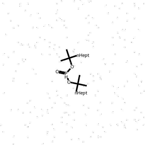 CCCCCCCC(C)(C)O[PH](=O)OC(C)(C)CCCCCCC